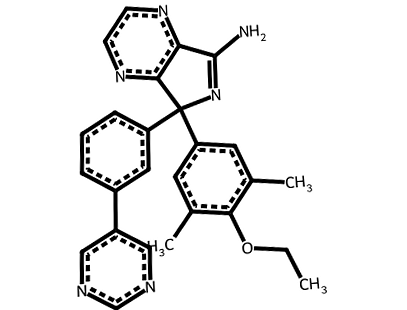 CCOc1c(C)cc(C2(c3cccc(-c4cncnc4)c3)N=C(N)c3nccnc32)cc1C